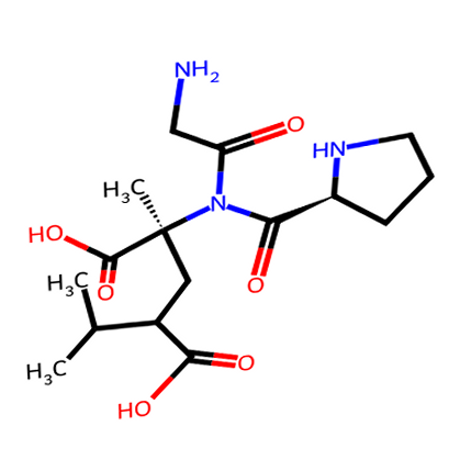 CC(C)C(C[C@@](C)(C(=O)O)N(C(=O)CN)C(=O)[C@@H]1CCCN1)C(=O)O